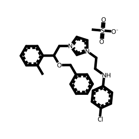 CS(=O)(=O)[O-].Cc1ccccc1C(C[n+]1ccn(CCNc2ccc(Cl)cc2)c1)OCc1ccccc1